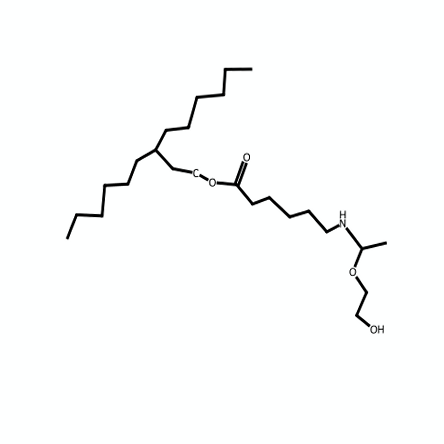 CCCCCCC(CCCCCC)CCOC(=O)CCCCCNC(C)OCCO